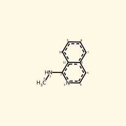 CNc1nccc2ccccc12